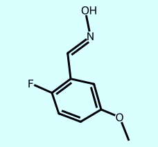 COc1ccc(F)c(/C=N/O)c1